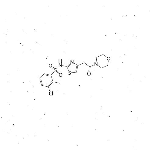 Cc1c(Cl)cccc1S(=O)(=O)Nc1nc(CC(=O)N2CCOCC2)cs1